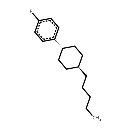 CCCCC[C@H]1CC[C@H](c2ccc(F)cc2)CC1